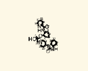 CC(O)(COc1ccccc1NC(=O)c1ccccn1)CN1CCC(n2c(=O)[nH]c3ccccc32)CC1